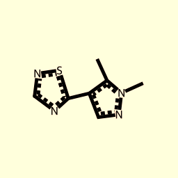 Cc1c(-c2ncns2)cnn1C